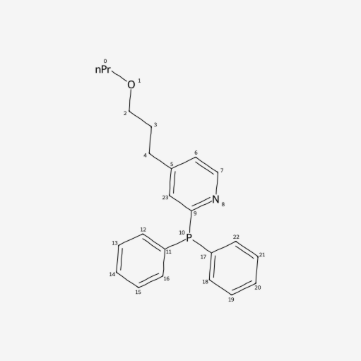 CCCOCCCc1ccnc(P(c2ccccc2)c2ccccc2)c1